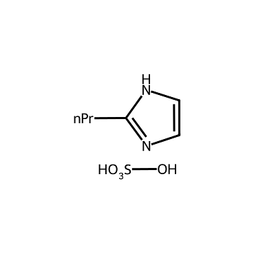 CCCc1ncc[nH]1.O=S(=O)(O)O